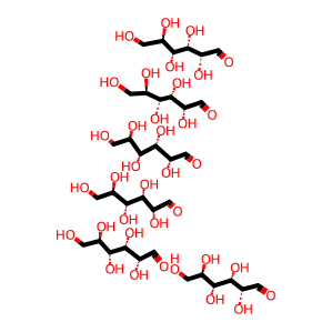 O=C[C@H](O)[C@@H](O)[C@H](O)[C@H](O)CO.O=C[C@H](O)[C@@H](O)[C@H](O)[C@H](O)CO.O=C[C@H](O)[C@@H](O)[C@H](O)[C@H](O)CO.O=C[C@H](O)[C@@H](O)[C@H](O)[C@H](O)CO.O=C[C@H](O)[C@@H](O)[C@H](O)[C@H](O)CO.O=C[C@H](O)[C@@H](O)[C@H](O)[C@H](O)CO